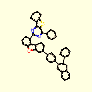 c1ccc(-c2cc3ccccc3cc2-c2ccc(-c3ccc4c(c3)oc3cccc(-c5nc(-c6ccccc6)c6sc7ccccc7c6n5)c34)cc2)cc1